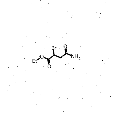 CCOC(=O)C(Br)CC(N)=O